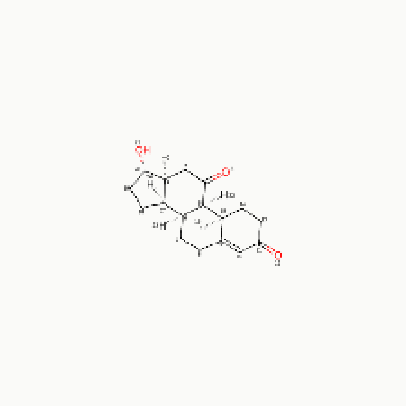 C[C@]12CC(=O)[C@@H]3[C@@H](CCC4=CC(=O)CC[C@@]43C)[C@H]1CC[C@@H]2O